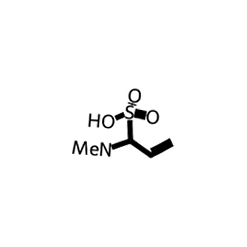 C=CC(NC)S(=O)(=O)O